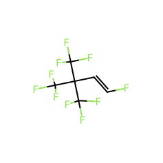 F/C=C/C(C(F)(F)F)(C(F)(F)F)C(F)(F)F